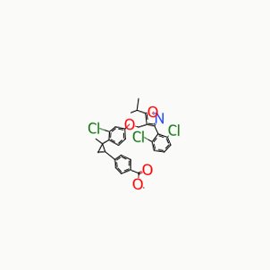 COC(=O)c1ccc(C2CC2(C)c2ccc(OCc3c(-c4c(Cl)cccc4Cl)noc3C(C)C)cc2Cl)cc1